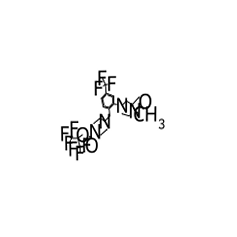 CN1CCN(c2cc(C(F)(F)F)ccc2CN2CCN(C(=O)OC(C(F)(F)F)C(F)(F)F)CC2)CC1C=O